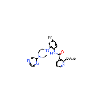 COc1ncccc1C(=O)Nc1ccc(C(C)C)cc1N1CCN(c2cnccn2)CC1